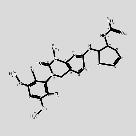 COc1cc(OC)c(Cl)c(N2Cc3cnc(NC4CC=CCC4NC(C)=O)nc3N(C)C2=O)c1Cl